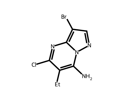 CCc1c(Cl)nc2c(Br)cnn2c1N